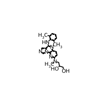 Cc1cccc(C)c1Nc1nc2ccc(N(C)CC(O)CO)nc2n2cncc12